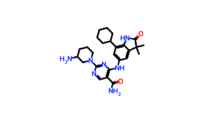 CC1(C)C(=O)Nc2c(C3CCCCC3)cc(Nc3nc(N4CCCC(N)C4)ncc3C(N)=O)cc21